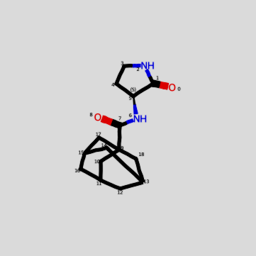 O=C1NCC[C@@H]1NC(=O)C12CC3CC(CC(C3)C1)C2